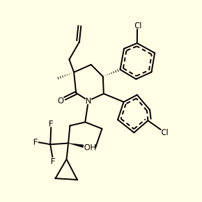 C=CC[C@@]1(C)C[C@H](c2cccc(Cl)c2)C(c2ccc(Cl)cc2)N(C(CC)C[C@](O)(C2CC2)C(F)(F)F)C1=O